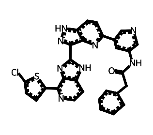 O=C(Cc1ccccc1)Nc1cncc(-c2ccc3[nH]nc(-c4nc5c(-c6ccc(Cl)s6)nccc5[nH]4)c3n2)c1